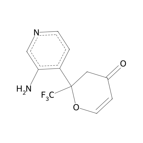 Nc1cnccc1C1(C(F)(F)F)CC(=O)C=CO1